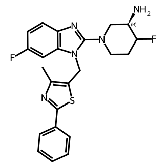 Cc1nc(-c2ccccc2)sc1Cn1c(N2CCC(F)[C@H](N)C2)nc2ccc(F)cc21